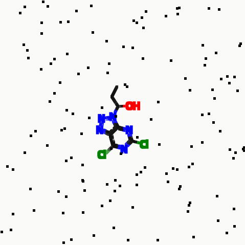 CCC(O)n1nnc2c(Cl)nc(Cl)nc21